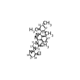 Cc1cc(C)c(-c2nnc(N3CCN(c4ncccc4Cl)C[C@H]3C)c3ccccc23)c(C)c1